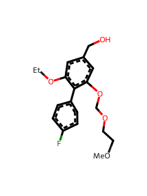 CCOc1cc(CO)cc(OCOCCOC)c1-c1ccc(F)cc1